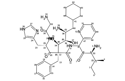 CC[C@H](C)[C@H](N)C(=O)C(NC(=O)[C@@](Cc1ccccc1)(C(=O)[C@H](Cc1c[nH]cn1)NC(=O)CN)[C@@H](O)[C@H](O)[C@@H](N)CC1CCCCC1)c1ccccn1